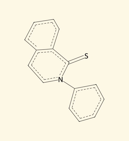 S=c1c2ccccc2ccn1-c1ccccc1